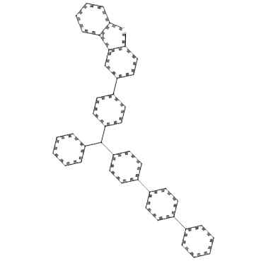 c1ccc(-c2ccc(-c3ccc(C(c4ccccc4)c4ccc(-c5ccc6sc7ccccc7c6c5)cc4)cc3)cc2)cc1